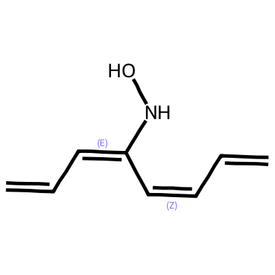 C=C/C=C\C(=C/C=C)NO